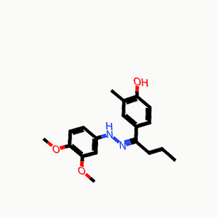 CCCC(=NNc1ccc(OC)c(OC)c1)c1ccc(O)c(C)c1